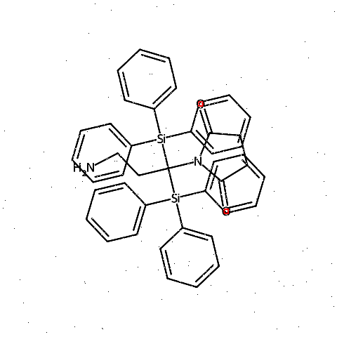 NCCC(N1C(=O)CCC1=O)([Si](c1ccccc1)(c1ccccc1)c1ccccc1)[Si](c1ccccc1)(c1ccccc1)c1ccccc1